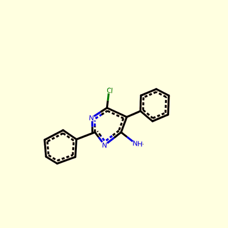 [NH]c1nc(-c2ccccc2)nc(Cl)c1-c1ccccc1